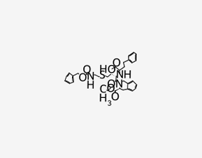 CCOC(=O)[C@@H]1Cc2ccccc2CN1C(=O)[C@H](CCSCCNC(=O)OCc1ccccc1)NC(CCc1ccccc1)C(=O)O